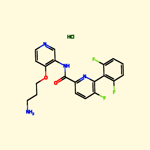 Cl.NCCCOc1ccncc1NC(=O)c1ccc(F)c(-c2c(F)cccc2F)n1